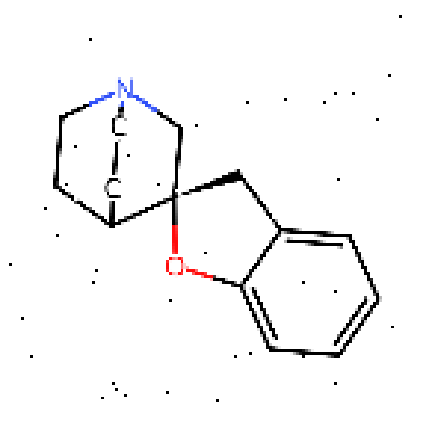 c1ccc2c(c1)C[C@@]1(CN3CCC1CC3)O2